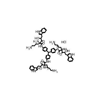 Cl.NCCCC[C@@](N)(C(=O)Nc1ccc(C(c2ccc(NC(=O)[C@](N)(CCCCN)C(=O)C(O)Cc3c[nH]c4ccccc34)cc2)c2ccc(NC(=O)[C@](N)(CCCCN)C(=O)C(O)Cc3c[nH]c4ccccc34)cc2)cc1)C(=O)C(O)Cc1c[nH]c2ccccc12